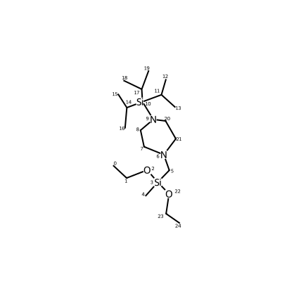 CCO[Si](C)(CN1CCN([Si](C(C)C)(C(C)C)C(C)C)CC1)OCC